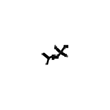 C=C(C)O.O=S(=O)(O)O